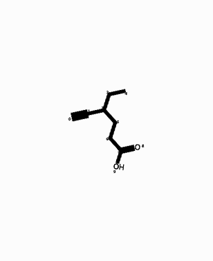 C#CC(CC)CCC(=O)O